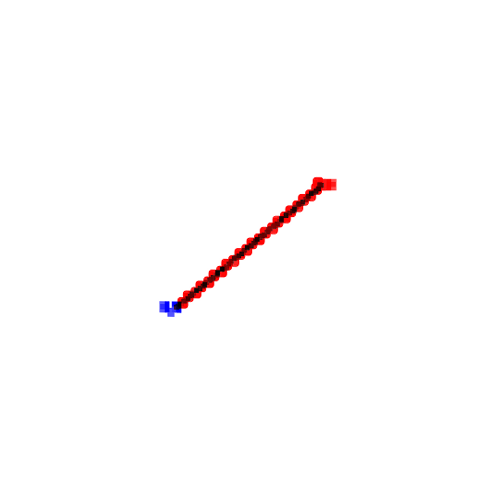 NCCOCCOCCOCCOCCOCCOCCOCCOCCOCCOCCOCCOCCOCCOCCOCCOCCOCCOCCOCCOCCOCCOCC(=O)O